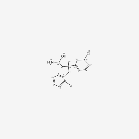 Cc1ccccc1CC(C)(C[C@H](N)O)c1cccc(Cl)c1